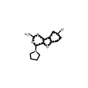 Nc1nc(N2CCCC2)c2oc3ccc(Cl)cc3c2n1